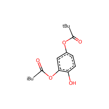 CCC(C)C(=O)Oc1cc(OC(=O)C(C)(C)C)ccc1O